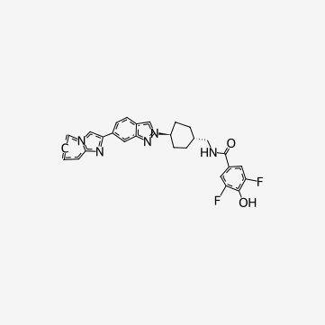 O=C(NC[C@H]1CC[C@H](n2cc3ccc(-c4cn5ccccc5n4)cc3n2)CC1)c1cc(F)c(O)c(F)c1